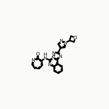 O=c1nccccc1Nc1nc2ccccc2c2nc(-c3cnn(C4COC4)c3)nn12